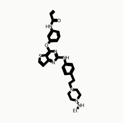 C=CC(=O)Nc1cccc(Oc2nc(Nc3ccc(CCN4CCN(NCC)CC4)cc3)nc3ccsc23)c1